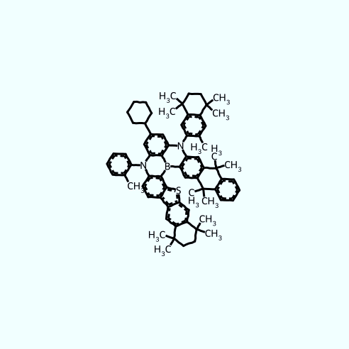 Cc1cc2c(cc1N1c3cc4c(cc3B3c5c1cc(C1CCCCC1)cc5N(c1ccccc1C)c1ccc5c(sc6cc7c(cc65)C(C)(C)CCC7(C)C)c13)C(C)(C)c1ccccc1C4(C)C)C(C)(C)CCC2(C)C